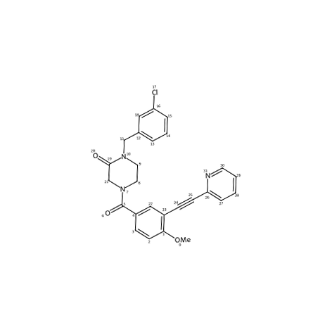 COc1ccc(C(=O)N2CCN(Cc3cccc(Cl)c3)C(=O)C2)cc1C#Cc1ccccn1